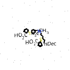 CCCCCCCCCCCCC(CCC[N+](C)(C)Cc1ccc(Sc2ccccc2C(=O)O)cc1)Sc1ccccc1C(=O)O